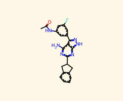 CC(=O)Nc1cc(F)cc(-c2n[nH]c3nc(C4Cc5ccccc5C4)nc(N)c23)c1